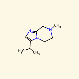 CC(C)c1cnc2n1CCN(C)C2